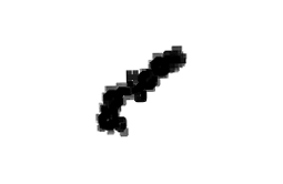 COc1cccc(CN2CCC(CCNC(=O)C3CCN(c4ccc(OC(F)(F)F)cc4)CC3)CC2)n1